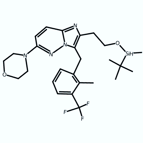 Cc1c(Cc2c(CCO[SiH](C)C(C)(C)C)nc3ccc(N4CCOCC4)nn23)cccc1C(F)(F)F